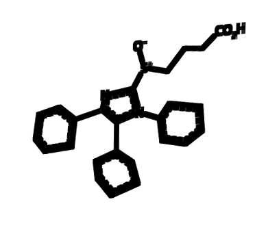 O=C(O)CCC[S+]([O-])c1nc(-c2ccccc2)c(-c2ccccc2)n1-c1ccccc1